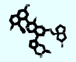 C#Cc1c(F)ccc2cc(O)cc(-c3ncc4c(-c5ccc6n5CC(=O)NC6)nc(OC[C@@]56CCCN5C[C@H](F)C6)nc4c3F)c12